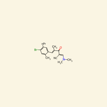 CCCc1cc(/C=C(\C)C(=O)/C(C#N)=C/N(C)C)c(C)cc1Br